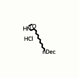 CCCCCCCCCCCCCCCCCCCC1CNCCO1.Cl